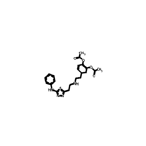 CC(=O)OC1=C(OC(C)=O)CC(CCNCCc2nnc(Nc3ccccc3)s2)C=C1